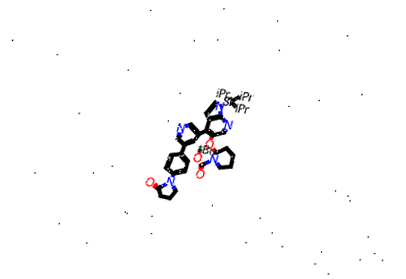 CC(C)[Si](C(C)C)(C(C)C)n1ccc2c(-c3cncc(-c4ccc(N5CCCC5=O)cc4)c3)c(OC3CCCCN3C(=O)OC(C)(C)C)cnc21